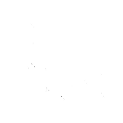 Cn1nc(C2CC2)cc1N=C=S